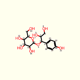 OCC(O)C(OC1OC(CO)C(O)C(O)C1O)c1ccc(O)cc1